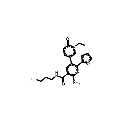 CCn1cc(-c2cc(C(=O)NCCCO)c(N)nc2-c2ccco2)ccc1=O